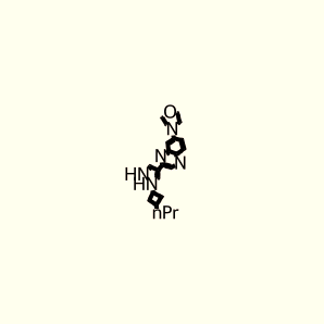 CCCC1CC(N/C=C(\C=N)c2cnc3ccc(N4CCOCC4)cc3n2)C1